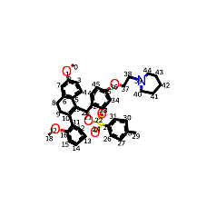 COc1ccc2c(c1)CCC(c1ccccc1OC)=C2C(OS(=O)(=O)c1ccc(C)cc1)c1ccc(OCCN2CCCCC2)cc1